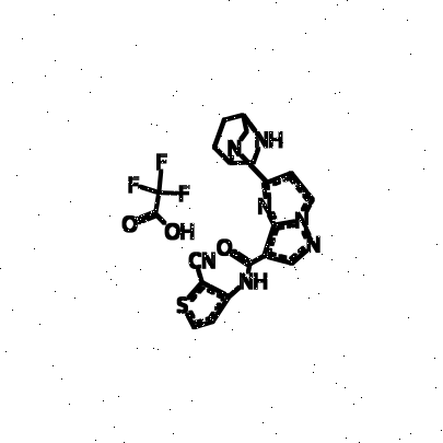 N#Cc1sccc1NC(=O)c1cnn2ccc(N3CC4CCC3CN4)nc12.O=C(O)C(F)(F)F